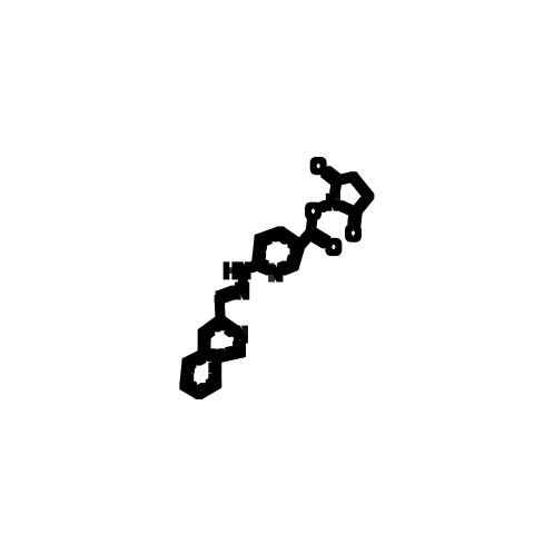 O=C(ON1C(=O)CCC1=O)c1ccc(N/N=C/c2cc3ccccc3cn2)nc1